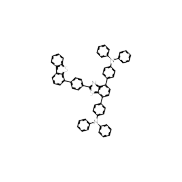 c1ccc(N(c2ccccc2)c2ccc(-c3ccc(-c4ccc(N(c5ccccc5)c5ccccc5)cc4)c4sc(-c5ccc(-c6cccc7c6sc6ccccc67)cc5)nc34)cc2)cc1